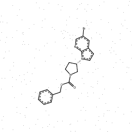 O=C(OCc1ccccc1)N1CC[C@H](n2ccc3cc(Br)cnc32)C1